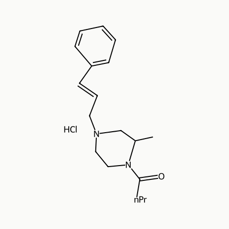 CCCC(=O)N1CCN(CC=Cc2ccccc2)CC1C.Cl